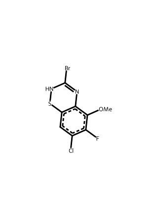 COc1c(F)c(Cl)cc2c1N=C(Br)NS2